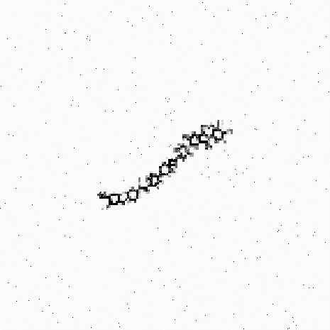 N#Cc1ccc(O[C@H]2CC[C@H](NC(=O)c3ccc(N4CCC5(CC4)CC(N4CCN(c6cc7c(cc6F)C(=O)N(C6CCC(=O)NC6=O)C7=O)CC4)C5)nn3)CC2)cc1Cl